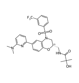 CN(C)c1cccc(-c2ccc3c(c2)N(S(=O)(=O)c2cccc(C(F)(F)F)c2)C[C@H](CNC(=O)C(C)(C)O)O3)n1